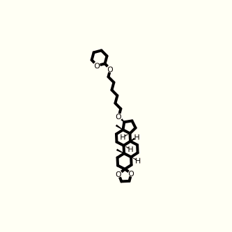 C[C@]12CCC3(C[C@@H]1CC[C@@H]1[C@@H]2CC[C@]2(C)[C@@H](OCCCCCCOC4CCCCO4)CC[C@@H]12)OCCO3